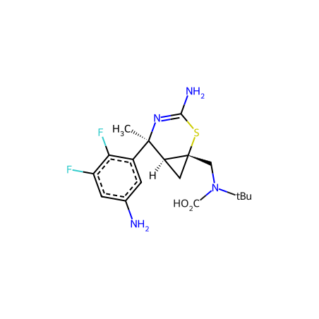 CC(C)(C)N(C[C@@]12C[C@H]1[C@@](C)(c1cc(N)cc(F)c1F)N=C(N)S2)C(=O)O